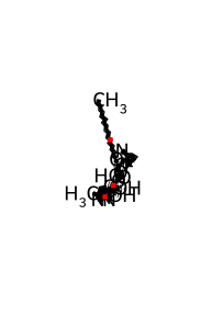 CCCCCCCCCCCCCCCCCCOC[C@H](COP(=O)(O)OC[C@H]1O[C@@](C#N)(c2ccc3c(C)ncnn23)[C@H](O)[C@@H]1O)OCc1c(F)cccc1C#N